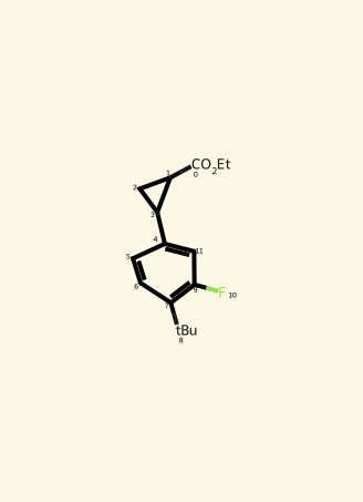 CCOC(=O)C1CC1c1ccc(C(C)(C)C)c(F)c1